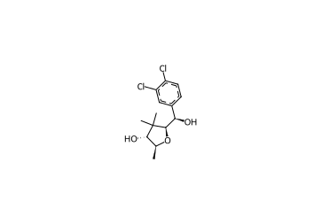 C[C@@H]1O[C@H]([C@H](O)c2ccc(Cl)c(Cl)c2)C(C)(C)[C@H]1O